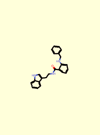 O=C(NCCc1c[nH]c2ccccc12)c1ccccc1NCc1ccccc1